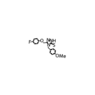 COc1ccc(Cn2c(COc3ccc(F)cc3)n[nH]c2=S)cc1